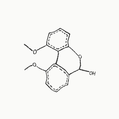 COc1cccc2c1-c1c(OC)cccc1C(O)O2